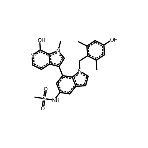 Cc1cc(O)cc(C)c1Cn1ccc2cc(NS(C)(=O)=O)cc(-c3cn(C)c4c(O)nccc34)c21